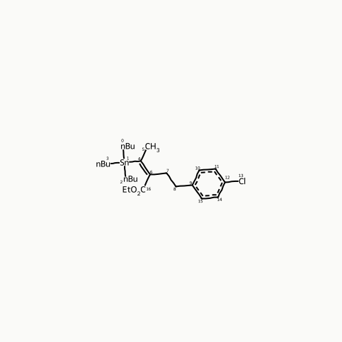 CCC[CH2][Sn]([CH2]CCC)([CH2]CCC)/[C](C)=C(/CCc1ccc(Cl)cc1)C(=O)OCC